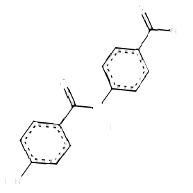 Cl.N=C(N)c1ccc(OC(=O)c2ccc(N)cc2)cc1